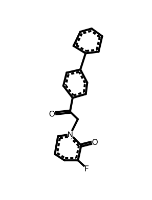 O=C(Cn1cccc(F)c1=O)c1ccc(-c2ccccc2)cc1